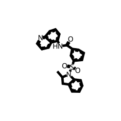 CC1Cc2ccccc2N1S(=O)(=O)c1cccc(C(=O)Nc2cccc3ncccc23)c1